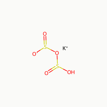 O=S([O-])OS(=O)O.[K+]